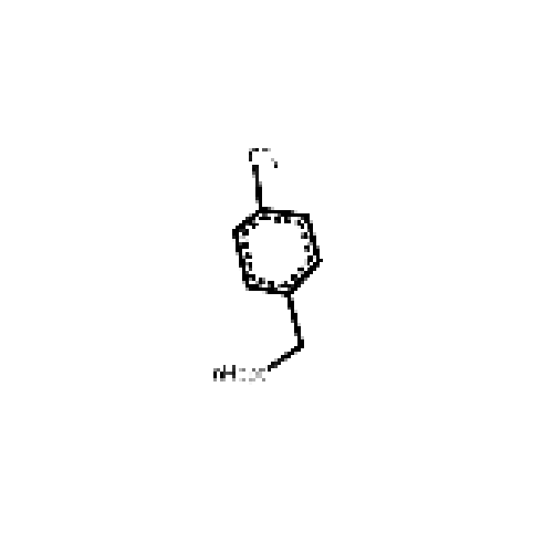 CCCCCCCCc1ccc(C(F)(F)F)cc1